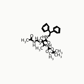 CC(=O)NCSC(C)(C(=O)NCC(c1ccccc1)c1ccccc1)C(C)NC(=O)OC(C)(C)C